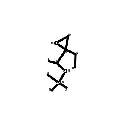 CCC1(C(C)O[Si](C)(C)C)CO1